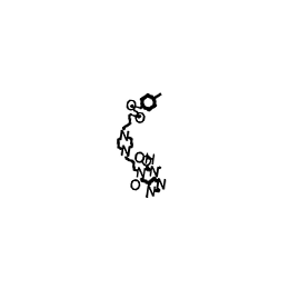 Cc1ccc(S(=O)(=O)CCCN2CCN(CC(O)Cn3c(=O)c4c(ncn4C)n(C)c3=O)CC2)cc1